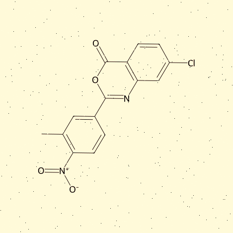 Cc1cc(-c2nc3cc(Cl)ccc3c(=O)o2)ccc1[N+](=O)[O-]